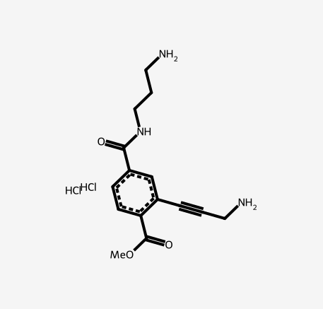 COC(=O)c1ccc(C(=O)NCCCN)cc1C#CCN.Cl.Cl